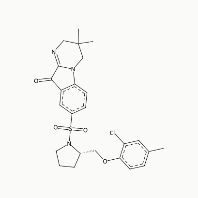 Cc1ccc(OC[C@@H]2CCCN2S(=O)(=O)c2ccc3c(c2)C(=O)C2=NCC(C)(C)CN23)c(Cl)c1